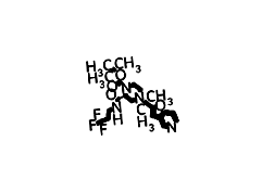 CC(C)(C)OC(=O)N1CCN(C(C)(C)c2cc3cnccc3o2)C[C@H]1C(=O)NCCC(F)(F)F